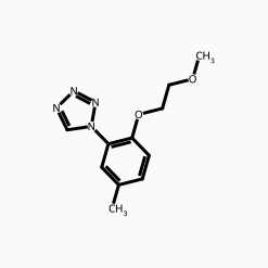 COCCOc1ccc(C)cc1-n1cnnn1